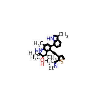 CC/N=C(\C)c1sccc1C#Cc1c(-c2cccc3c(C)c[nH]c23)cc(C)c2c1[C@H](C)C(O)C(C)(C)N2